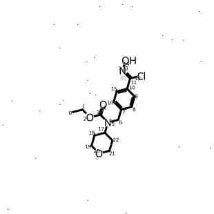 CCOC(=O)N(Cc1ccc(/C(Cl)=N/O)cc1)C1CCOCC1